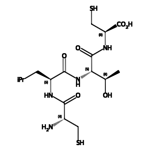 CC(C)C[C@H](NC(=O)[C@@H](N)CS)C(=O)N[C@H](C(=O)N[C@@H](CS)C(=O)O)[C@@H](C)O